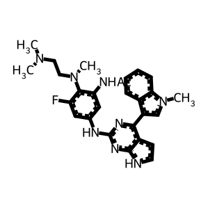 CC(=O)Nc1cc(Nc2nc(-c3cn(C)c4ccccc34)c3cc[nH]c3n2)cc(F)c1N(C)CCN(C)C